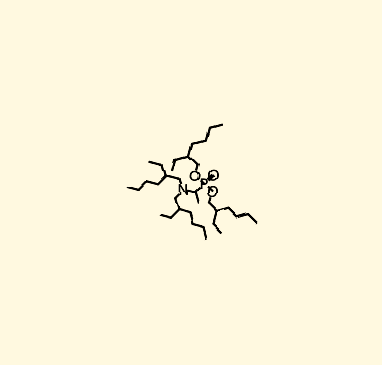 CCCCC(CC)COP(=O)(OCC(CC)CCCC)C(C)N(CC(CC)CCCC)CC(CC)CCCC